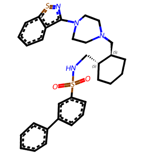 O=S(=O)(NC[C@H]1CCCC[C@@H]1CN1CCN(c2nsc3ccccc23)CC1)c1cccc(-c2ccccc2)c1